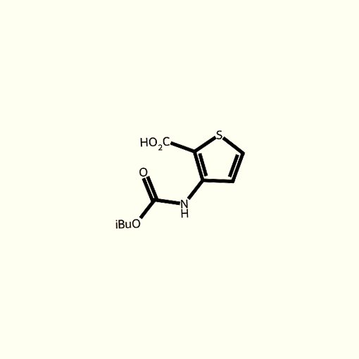 CC(C)COC(=O)Nc1ccsc1C(=O)O